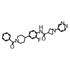 O=C(Nc1ccc(C2CCN(C(=O)c3ccccc3)CC2)cc1F)C1CN(c2ccnnc2)C1